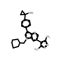 Cc1noc(C)c1-c1cnc2c(-c3ccc(C4(C=O)CC4)cc3)cn(CC3CCCCC3)c2c1